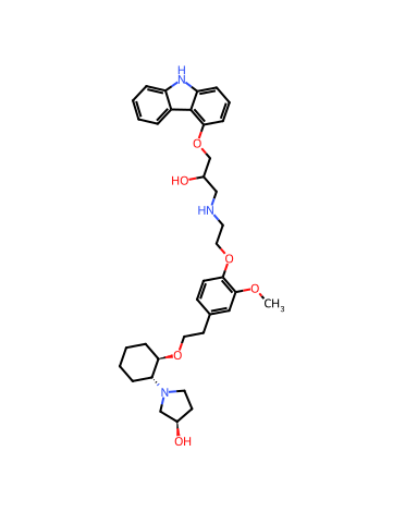 COc1cc(CCO[C@@H]2CCCC[C@H]2N2CC[C@@H](O)C2)ccc1OCCNCC(O)COc1cccc2[nH]c3ccccc3c12